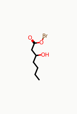 CCCCC(O)CC(=O)OBr